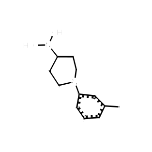 CN(C)C1CCN(c2cccc(F)c2)CC1